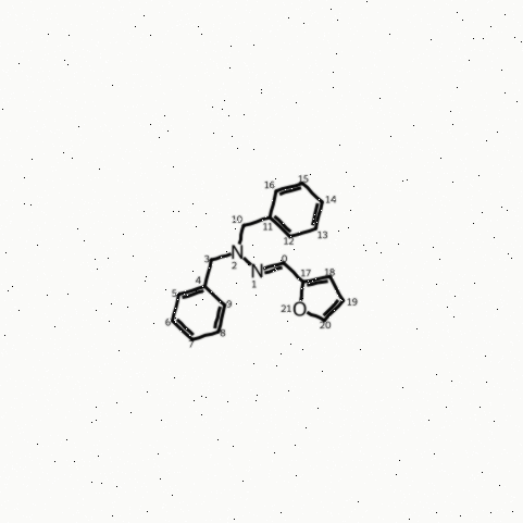 C(=NN(Cc1ccccc1)Cc1ccccc1)c1ccco1